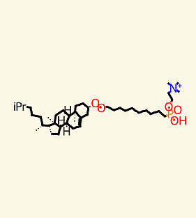 CC(C)CCC[C@@H](C)[C@H]1CC[C@H]2[C@@H]3CC=C4C[C@@H](OOCCCCCCCCCCP(=O)(O)OCC[N+](C)(C)C)CC[C@]4(C)[C@H]3CC[C@]12C